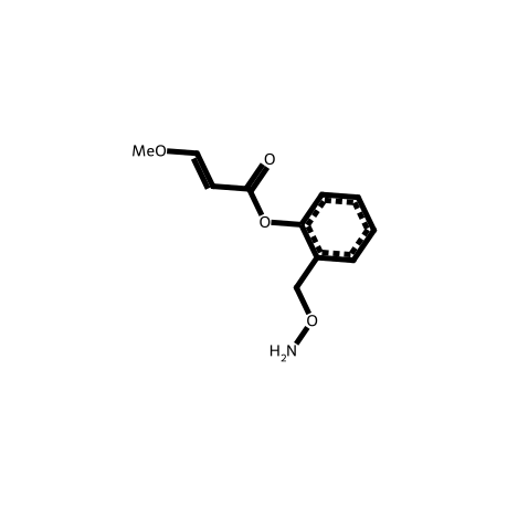 COC=CC(=O)Oc1ccccc1CON